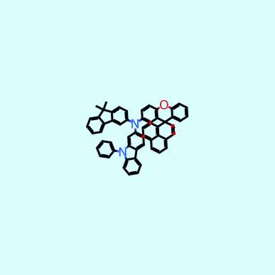 CC1(C)c2ccccc2-c2cc(N(c3ccc4c(c3)C3(c5ccccc5O4)c4ccccc4-c4cccc5cccc3c45)c3ccc4c5ccccc5n(-c5ccccc5)c4c3)ccc21